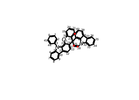 c1ccc(-n2c3ccccc3c3ccc4c(c32)Oc2ccccc2C42c3ccccc3-n3c4ccccc4c4cccc2c43)cc1